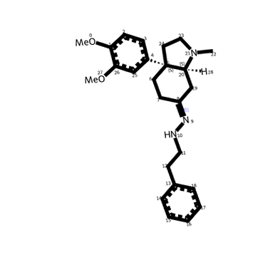 COc1ccc([C@@]23CC/C(=N\NCCc4ccccc4)C[C@@H]2N(C)CC3)cc1OC